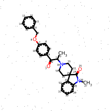 CC(C(=O)c1ccc(OCc2ccccc2)cc1)N1CCC2(CC1)C(=O)N(C)c1ccccc12